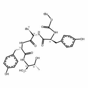 CC[C@H](C)[C@H](NC(=O)[C@H](Cc1ccc(O)cc1)NC(=O)OC(C)(C)C)C(=O)N[C@@H](Cc1ccc(O)cc1)C(=O)N[C@H](C(=O)O)[C@@H](C)O